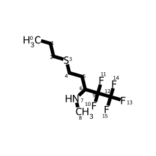 CCCSCCC(NC)C(F)(F)C(F)(F)F